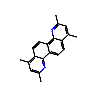 Cc1cc(C)c2ccc3c(ccc4c(C)cc(C)nc43)c2n1